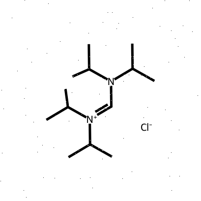 CC(C)N(C=[N+](C(C)C)C(C)C)C(C)C.[Cl-]